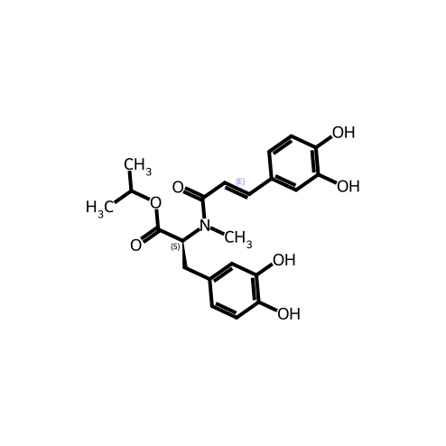 CC(C)OC(=O)[C@H](Cc1ccc(O)c(O)c1)N(C)C(=O)/C=C/c1ccc(O)c(O)c1